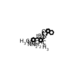 Cc1ccc(C(c2ccc(N(C)N)c(N)c2C)C(C)(C)C)cc1CN1CCOc2ccc3c(c2C1)CCCC3